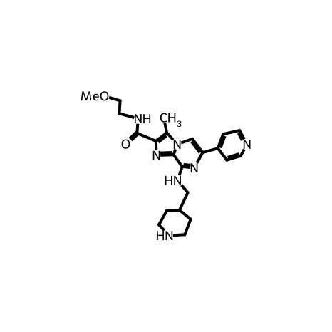 COCCNC(=O)c1nc2c(NCC3CCNCC3)nc(-c3ccncc3)cn2c1C